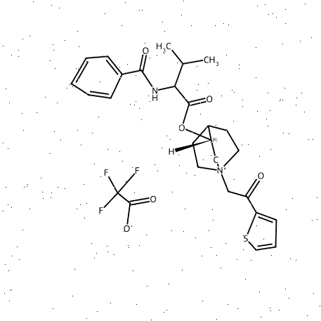 CC(C)C(NC(=O)c1ccccc1)C(=O)O[C@H]1C[N+]2(CC(=O)c3cccs3)CCC1CC2.O=C([O-])C(F)(F)F